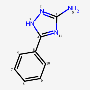 Nc1n[nH]c(-c2[c]cccc2)n1